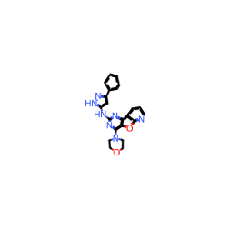 c1ccc(-c2cc(Nc3nc(N4CCOCC4)c4oc5ncccc5c4n3)[nH]n2)cc1